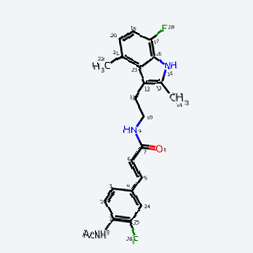 CC(=O)Nc1ccc(C=CC(=O)NCCc2c(C)[nH]c3c(F)ccc(C)c23)cc1F